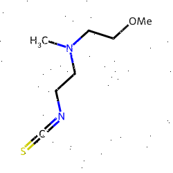 COCCN(C)CCN=C=S